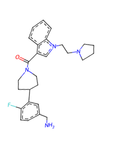 NCc1ccc(F)c(C2CCN(C(=O)c3cn(CCN4CCCC4)c4ccccc34)CC2)c1